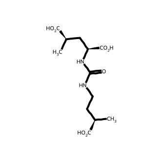 C[C@H](CCNC(=O)N[C@@H](C[C@@H](C)C(=O)O)C(=O)O)C(=O)O